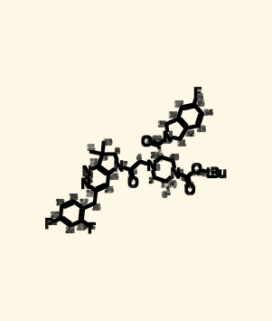 C[C@@H]1CN(CC(=O)N2CC(C)(C)c3nnc(Cc4ccc(F)cc4F)cc32)[C@H](C(=O)N2Cc3ccc(F)cc3C2)CN1C(=O)OC(C)(C)C